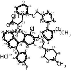 COc1ccccc1-c1nccc(COc2ccccc2CC(Oc2ncnc3sc(-c4ccc(F)cc4)c(-c4ccc(OCCN5CCN(C)CC5)c(Cl)c4C)c23)C(=O)O)n1.Cl